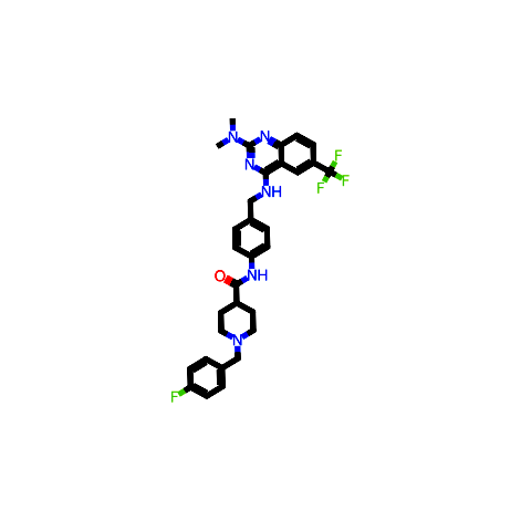 CN(C)c1nc(NCc2ccc(NC(=O)C3CCN(Cc4ccc(F)cc4)CC3)cc2)c2cc(C(F)(F)F)ccc2n1